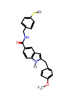 CCSc1ccc(CNC(=O)c2ccc3c(c2)cc(Cc2ccc(OC(F)(F)F)cc2)n3CC)cc1